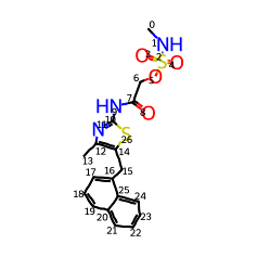 CNS(=O)(=O)OCC(=O)Nc1nc(C)c(Cc2cccc3ccccc23)s1